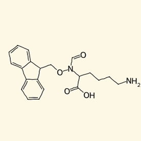 NCCCCC(C(=O)O)N(C=O)OCC1c2ccccc2-c2ccccc21